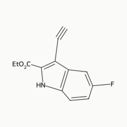 C#Cc1c(C(=O)OCC)[nH]c2ccc(F)cc12